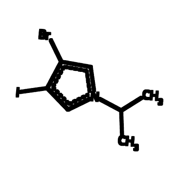 CC(C)n1cc(Br)c(I)c1